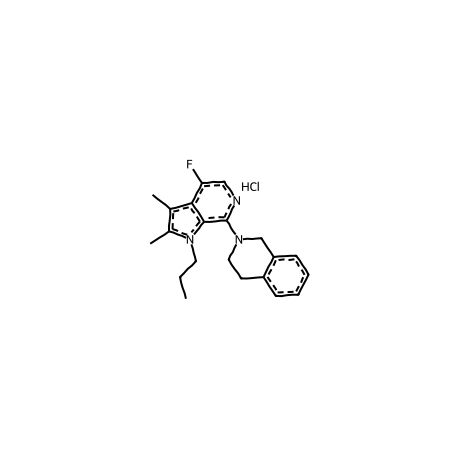 CCCn1c(C)c(C)c2c(F)cnc(N3CCc4ccccc4C3)c21.Cl